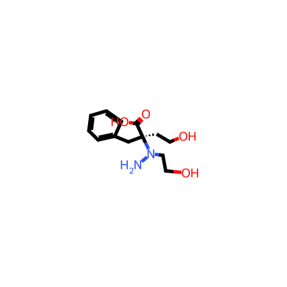 NN(CCO)[C@@](CCO)(Cc1ccccc1)C(=O)O